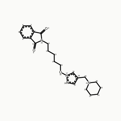 O=C1c2ccccc2C(=O)N1CCCCCOn1cc(CN2CCCCC2)cn1